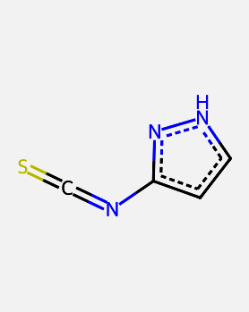 S=C=Nc1cc[nH]n1